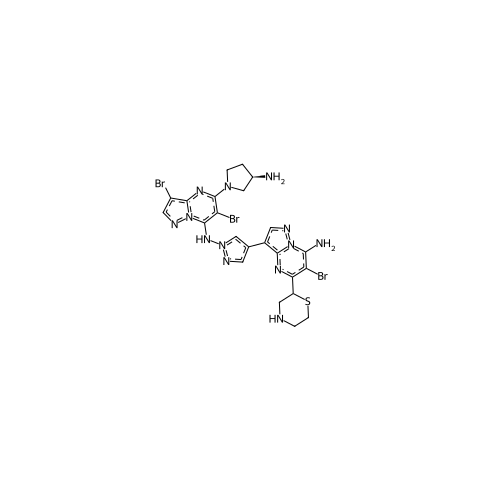 Nc1c(Br)c(C2CNCCS2)nc2c(-c3cnn(Nc4c(Br)c(N5CC[C@@H](N)C5)nc5c(Br)cnn45)c3)cnn12